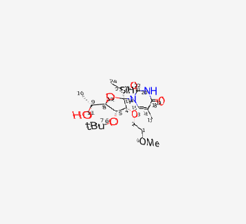 COCCO[C@@H]1[C@H](OC(C)(C)C)[C@@H]([C@@H](C)O)O[C@]1(n1cc(C)c(=O)[nH]c1=O)[SiH](C)C